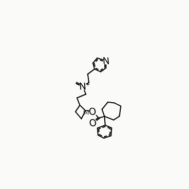 C=[N+](CCc1ccncc1)CCC1CC[C@@H]1OC(=O)C1(c2ccccc2)CCCCCC1